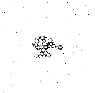 CC(C)(C)c1cc2c3c(c1)C1(C)CCCCC1(C)N3c1cc(N3c4ccc(-c5ccccc5)cc4C4(C)CCCCC34C)cc3c1B2c1ccc2c4c1N3c1cc(c(C(C)(C)C)cc1-c1ccccc1)C(C)(C)c1ccc(c-4c1)C2(C)C